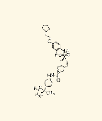 CC(C)(C)c1ccc(NC(=O)N2Cc3ccc(S(=O)(=O)Nc4ccc(OCCC5CCCC5)cc4F)cc3C2)cc1